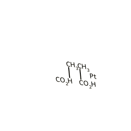 CC(=O)O.CC(=O)O.[Pt]